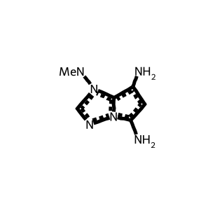 CNn1cnn2c(N)cc(N)c12